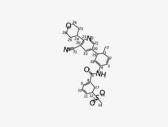 CC1C=CC(NC(=O)C2=CC=CC(S(C)(=O)=O)C2)=CC1c1cnc(C2CCOCC2)c(C#N)c1